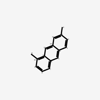 Cc1ccc2cc3cccc(C)c3[c]c2c1